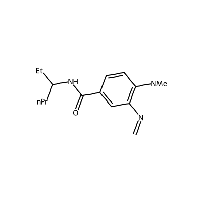 C=Nc1cc(C(=O)NC(CC)CCC)ccc1NC